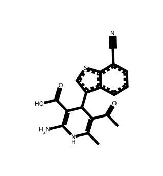 CC(=O)C1=C(C)NC(N)=C(C(=O)O)C1c1csc2c(C#N)cccc12